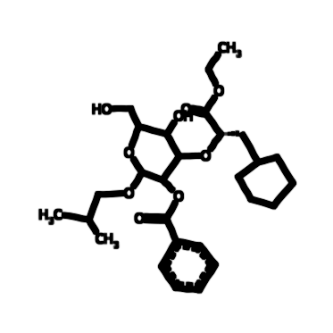 CCOC(=O)[C@H](CC1CCCCC1)OC1C(O)C(CO)OC(OCC(C)C)C1OC(=O)c1ccccc1